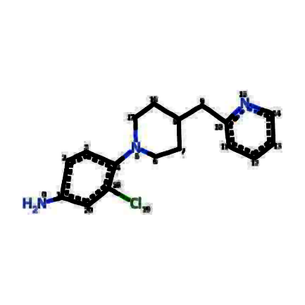 Nc1ccc(N2CCC(Cc3ccccn3)CC2)c(Cl)c1